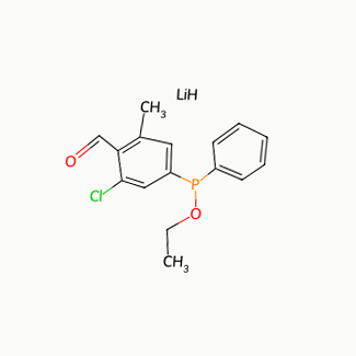 CCOP(c1ccccc1)c1cc(C)c(C=O)c(Cl)c1.[LiH]